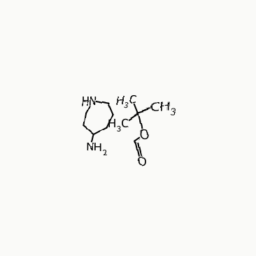 CC(C)(C)OC=O.NC1CCCNCC1